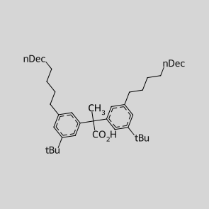 CCCCCCCCCCCCCCc1cc(C(C)(C)C)cc(C(C)(C(=O)O)c2cc(CCCCCCCCCCCCCC)cc(C(C)(C)C)c2)c1